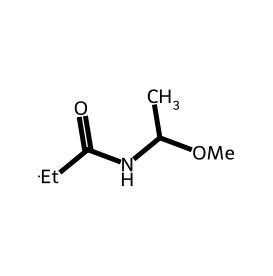 C[CH]C(=O)NC(C)OC